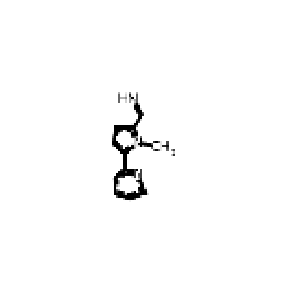 Cn1c(C=N)ccc1-c1ccccn1